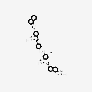 O=COc1cc(-n2n3c4ccc5cc(S(=O)(=O)O)ccc5c4n23)c(S(=O)(=O)O)cc1N=Nc1ccc(C=Cc2ccc(-n3n4c5ccc6ccccc6c5n34)cc2S(=O)(=O)O)cc1